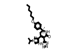 CCCCCCOc1ccc([C@]2(C)CC(c3ccn(C(C)C)n3)=C(c3nnn[nH]3)C(=O)N2)cc1